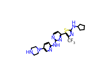 FC(F)(F)c1nc(NC2CCCC2)sc1-c1ccnc(Nc2ccc(N3CCNCC3)cn2)n1